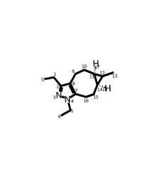 CCc1nn(CC)c2c1CC[C@H]1C(C)[C@H]1CC2